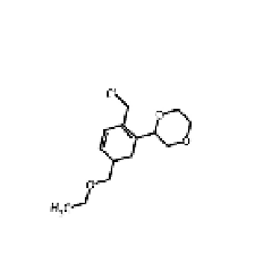 CCOCC1C=CC(CCl)=C(C2COCCO2)C1